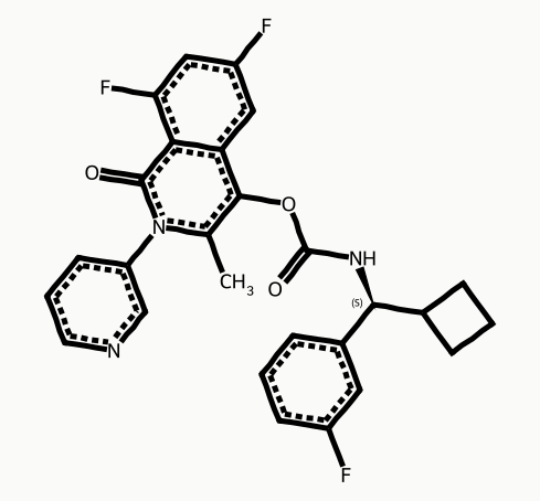 Cc1c(OC(=O)N[C@H](c2cccc(F)c2)C2CCC2)c2cc(F)cc(F)c2c(=O)n1-c1cccnc1